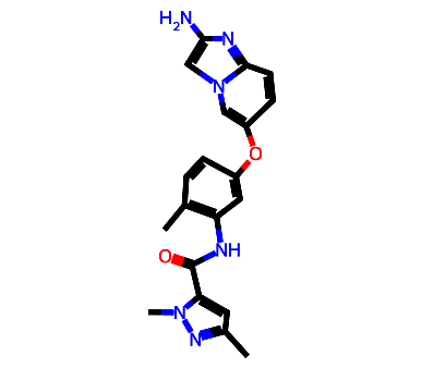 Cc1cc(C(=O)Nc2cc(Oc3ccc4nc(N)cn4c3)ccc2C)n(C)n1